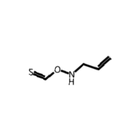 C=CCNOC=S